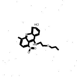 CCCOCCNc1c2ccccc2nc2c(C)ccc([N+](=O)[O-])c12.Cl